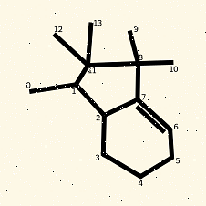 CC1C2CCCC=C2C(C)(C)C1(C)C